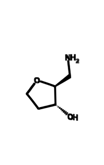 NC[C@@H]1OCC[C@H]1O